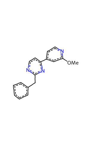 COc1cc(-c2ccnc(Cc3ccccc3)n2)ccn1